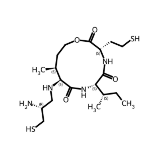 CC[C@H](C)[C@@H]1NC(=O)[C@@H](NC[C@@H](N)CS)[C@@H](C)CCOC(=O)[C@H](CCS)NC1=O